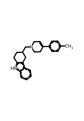 Cc1ccc(C2=CCN(CC3CCc4[nH]c5ccccc5c4C3)CC2)cc1